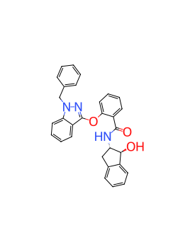 O=C(N[C@H]1Cc2ccccc2[C@@H]1O)c1ccccc1Oc1nn(Cc2ccccc2)c2ccccc12